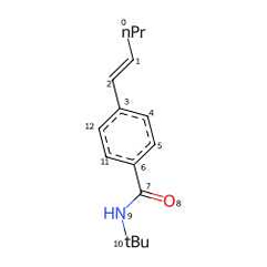 CCC/C=C/c1ccc(C(=O)NC(C)(C)C)cc1